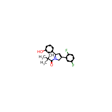 CC(C)(C)C(=O)N1CC(c2cc(F)ccc2F)=CC1c1cccc(O)c1